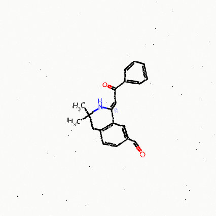 CC1(C)Cc2ccc(C=O)cc2/C(=C/C(=O)c2ccccc2)N1